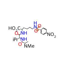 CNC(C)C(=O)NC(C(=O)NC(CCCCNS(=O)(=O)c1ccc([N+](=O)[O-])cc1)C(=O)O)C(C)C